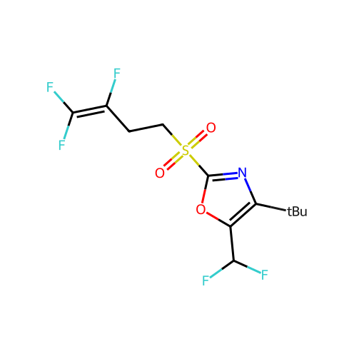 CC(C)(C)c1nc(S(=O)(=O)CCC(F)=C(F)F)oc1C(F)F